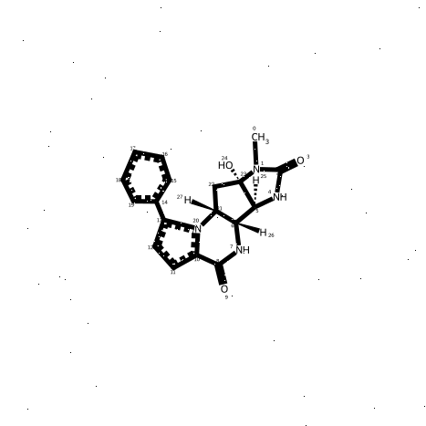 CN1C(=O)N[C@H]2[C@@H]3NC(=O)c4ccc(-c5ccccc5)n4[C@@H]3C[C@]21O